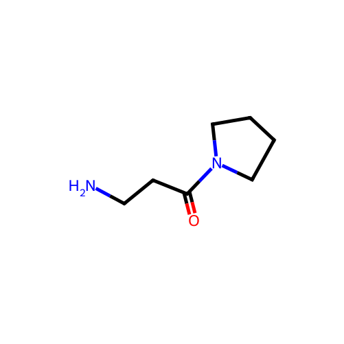 NCCC(=O)N1CCCC1